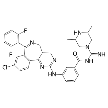 CC1CN(C(=N)NC(=O)c2cccc(Nc3ncc4c(n3)-c3ccc(Cl)cc3C(c3c(F)cccc3F)=NC4)c2)CC(C)N1